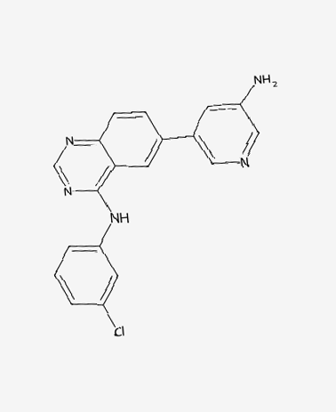 Nc1cncc(-c2ccc3ncnc(Nc4cccc(Cl)c4)c3c2)c1